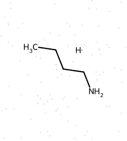 CCCCN.[H]